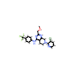 COCc1nc2c(c(Nc3ccc(C(F)(F)F)cc3)n1)CCN(c1ncccc1Cl)C2